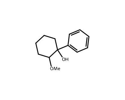 COC1CCCCC1(O)c1ccccc1